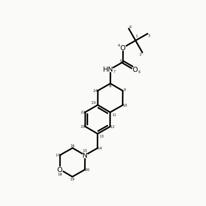 CC(C)(C)OC(=O)NC1CCc2cc(CN3CCOCC3)ccc2C1